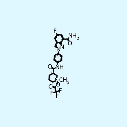 C[N+]1(OC(=O)C(F)(F)F)CCC[C@@H](C(=O)Nc2ccc(-n3cc4cc(F)cc(C(N)=O)c4n3)cc2)C1